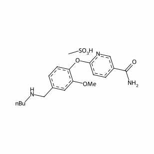 CCCCNCc1ccc(Oc2ccc(C(N)=O)cn2)c(OC)c1.CS(=O)(=O)O